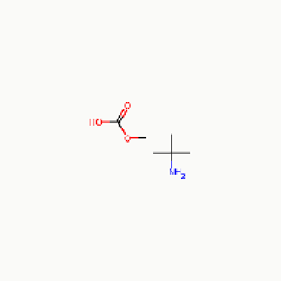 CC(C)(C)N.COC(=O)O